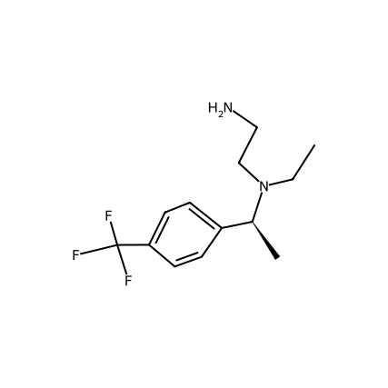 CCN(CCN)[C@@H](C)c1ccc(C(F)(F)F)cc1